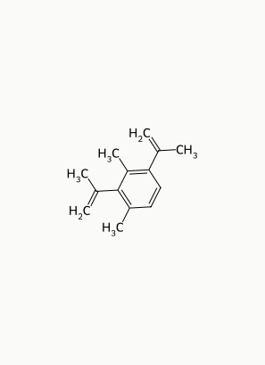 C=C(C)c1ccc(C)c(C(=C)C)c1C